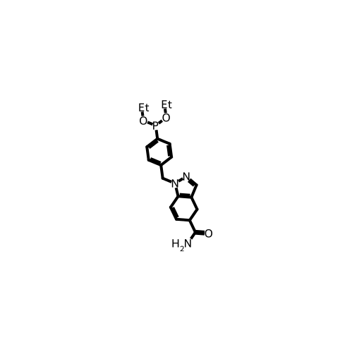 CCOP(OCC)c1ccc(Cn2ncc3c2C=CC(C(N)=O)C3)cc1